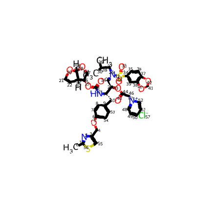 Cc1nc(COc2ccc(C[C@H](NC(=O)O[C@H]3CO[C@H]4OCC[C@H]43)[C@@H](CN(CC(C)C)S(=O)(=O)c3ccc4c(c3)OCO4)OC(=O)C[n+]3ccccc3)cc2)cs1.[Cl-]